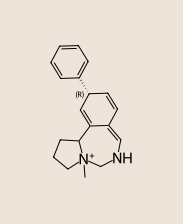 C[N+]12CCCC1C1=C[C@H](c3ccccc3)C=CC1=CNC2